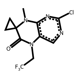 CN1c2nc(Cl)ncc2N(CC(F)(F)F)C(=O)C12CC2